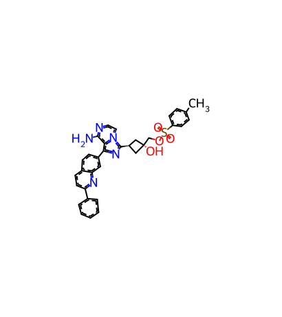 Cc1ccc(S(=O)(=O)OC[C@]2(O)C[C@H](c3nc(-c4ccc5ccc(-c6ccccc6)nc5c4)c4c(N)nccn43)C2)cc1